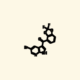 O=C(c1cccc2c1OC(F)(F)O2)c1c[nH]c2ncc(Br)cc12